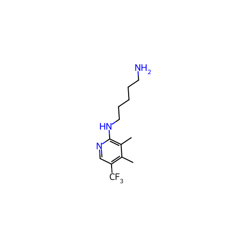 Cc1c(C(F)(F)F)cnc(NCCCCCN)c1C